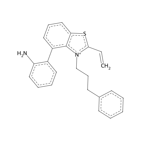 C=Cc1sc2cccc(-c3ccccc3N)c2[n+]1CCCc1ccccc1